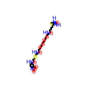 Cn1c(=O)oc(=O)c2cc(NC(=O)CCSSCCNC(=O)CCOCCOCCOCCOCCNC(=O)CCCCC3SCC4NC(=O)NC43)ccc21